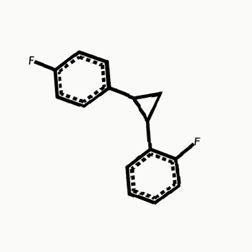 Fc1ccc(C2CC2c2ccccc2F)cc1